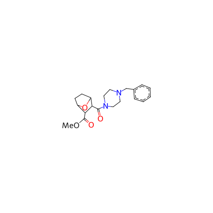 COC(=O)C1C2CCC(O2)C1C(=O)N1CCN(Cc2ccccc2)CC1